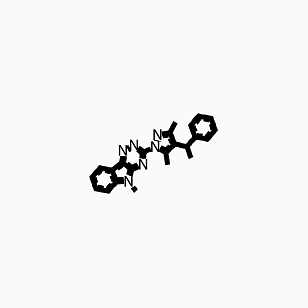 Cc1nn(-c2nnc3c4ccccc4n(C)c3n2)c(C)c1C(C)c1ccccc1